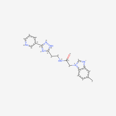 Cc1ccc2c(c1)ncn2CC(=O)NCCc1nc(-c2cccnc2)n[nH]1